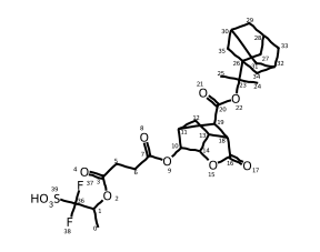 CC(OC(=O)CCC(=O)OC1C2CC3C1OC(=O)C3C2C(=O)OC(C)(C)C12CC3CC(CC(C3)C1)C2)C(F)(F)S(=O)(=O)O